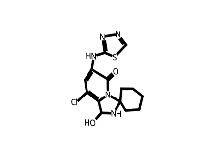 O=c1c(Nc2nncs2)cc(Cl)c2n1C1(CCCCC1)NC2O